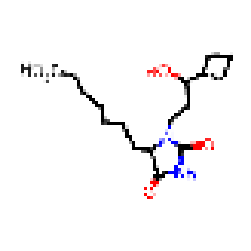 O=C(O)CCCCCCC1C(=O)NC(=O)N1CCC(O)C1CCC1